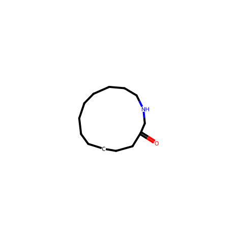 O=C1CCCCCCCCCCCNC1